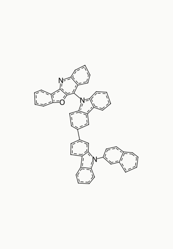 c1ccc2cc(-n3c4ccccc4c4ccc(-c5ccc6c(c5)c5ccccc5n6-c5c6ccccc6nc6c5oc5ccccc56)cc43)ccc2c1